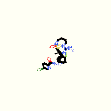 C[C@@]1(c2cc(NC(=O)c3ccc(Cl)cn3)ccc2F)CS2(=O)=NCCCCN2C(N)=N1